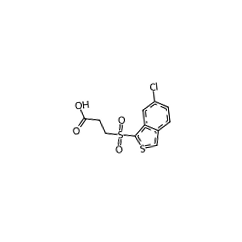 O=C(O)CCS(=O)(=O)c1scc2ccc(Cl)cc12